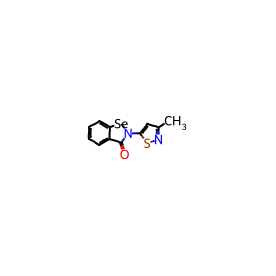 Cc1cc(-n2[se]c3ccccc3c2=O)sn1